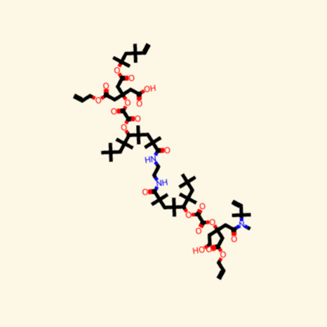 C=CCOC(=O)CC(CC(=O)O)(CC(=O)OC(C)(C)CC(C)(C)C=C)OC(=O)C(=O)OC(C(C)(C)CC(C)(C)C)C(C)(C)CC(C)(C)C(=O)NCCNC(=O)C(C)(C)CC(C)(C)C(OC(=O)C(=O)OC(CC(=O)O)(CC(=O)OCC=C)CC(=O)N(C)C(C)(C)C=C)C(C)(C)CC(C)(C)C